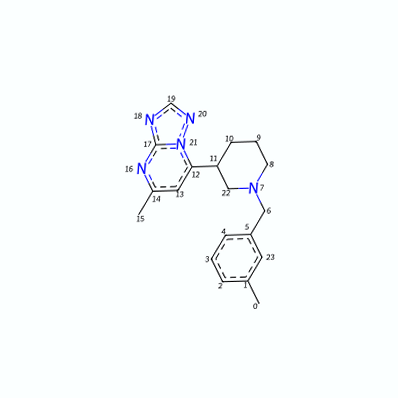 Cc1cccc(CN2CCCC(c3cc(C)nc4ncnn34)C2)c1